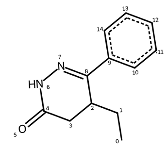 CCC1CC(=O)NN=C1c1c[c]ccc1